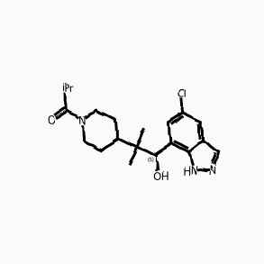 CC(C)C(=O)N1CCC(C(C)(C)[C@H](O)c2cc(Cl)cc3cn[nH]c23)CC1